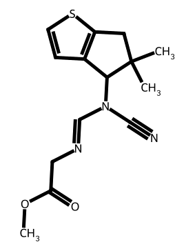 COC(=O)CN=CN(C#N)C1c2ccsc2CC1(C)C